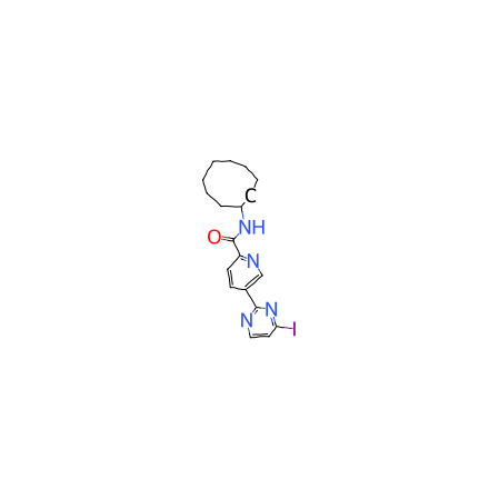 O=C(NC1CCCCCCCC1)c1ccc(-c2nccc(I)n2)cn1